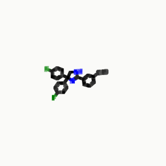 O=Cc1cccc(C2=NC(c3ccc(F)cc3)(c3ccc(F)cc3)CN2)c1